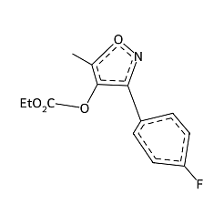 CCOC(=O)Oc1c(-c2ccc(F)cc2)noc1C